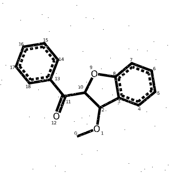 COC1c2ccccc2OC1C(=O)c1ccccc1